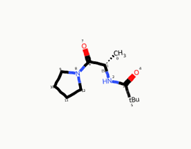 C[C@H](NC(=O)C(C)(C)C)C(=O)N1CCCC1